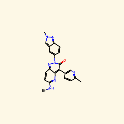 CCNc1ccc2nn(-c3ccc4nn(C)cc4c3)c(=O)c(-c3ccc(C)nc3)c2n1